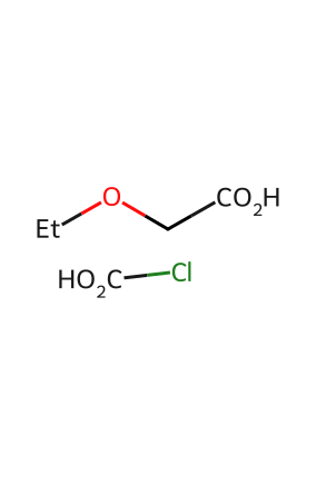 CCOCC(=O)O.O=C(O)Cl